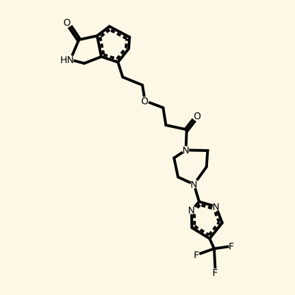 O=C1NCc2c(CCOCCC(=O)N3CCN(c4ncc(C(F)(F)F)cn4)CC3)cccc21